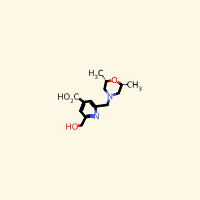 C[C@@H]1CN(Cc2cc(C(=O)O)cc(CO)n2)C[C@H](C)O1